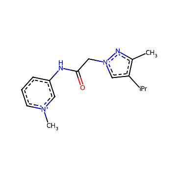 Cc1nn(CC(=O)Nc2ccc[n+](C)c2)cc1C(C)C